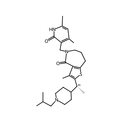 Cc1cc(C)c(CN2CCCc3sc([C@H](C)C4CCN(CC(C)C)CC4)c(C)c3C2=O)c(=O)[nH]1